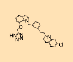 Clc1ccc2ccc(/C=C/c3cccc(Cn4ccc5cccc(OCc6nnn[nH]6)c54)c3)nc2c1